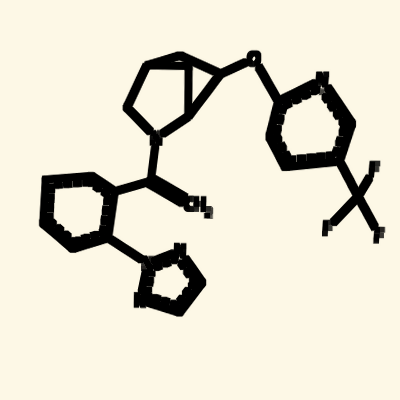 C=C(c1ccccc1-n1nccn1)N1CC2CC(Oc3ccc(C(F)(F)F)cn3)C1C2